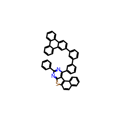 c1ccc(-c2nc(-c3cccc(-c4cccc(-c5ccc6c7ccccc7c7ccccc7c6c5)c4)c3)c3c(n2)sc2ccc4ccccc4c23)cc1